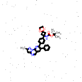 Cc1cc2ncc3cc(-c4ccccc4)c(-c4ccc(C5(NC(=O)OC(C)(C)C)CC6(C5)OCCO6)cc4)nc3n2n1